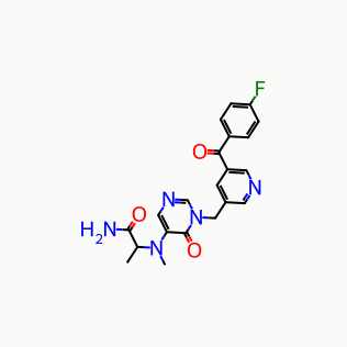 CC(C(N)=O)N(C)c1cncn(Cc2cncc(C(=O)c3ccc(F)cc3)c2)c1=O